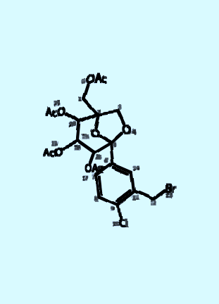 CC(=O)OCC12COC(c3ccc(Cl)c(CBr)c3)(O1)C(OC(C)=O)C(OC(C)=O)C2OC(C)=O